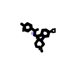 C/C(=C\n1c2c(c3cc(Cl)ccc31)CN(C)CC2)c1ccc(C)nc1